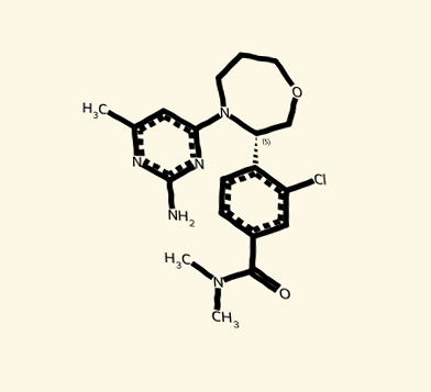 Cc1cc(N2CCCOC[C@@H]2c2ccc(C(=O)N(C)C)cc2Cl)nc(N)n1